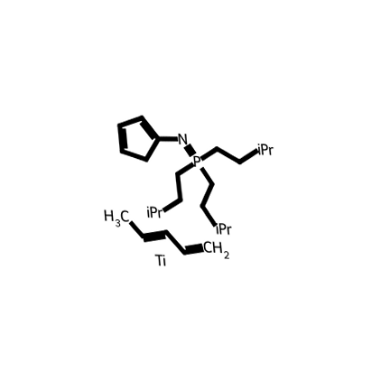 C=CC=CC.CC(C)CCP(CCC(C)C)(CCC(C)C)=NC1=CC=CC1.[Ti]